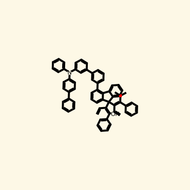 C=C/C(=C(/O)c1ccccc1)C1(/C(C=C)=C(/c2ccccc2)C(C)C)c2ccccc2-c2c(-c3cccc(-c4cccc(N(c5ccccc5)c5ccc(-c6ccccc6)cc5)c4)c3)cccc21